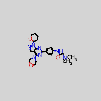 CN(C)CC(=O)Nc1ccc(-c2nc(N3CCOCC3)c3cnn(C4CCCCO4)c3n2)cc1